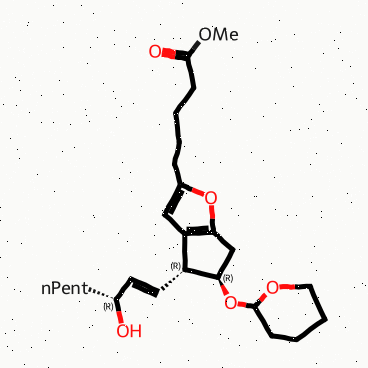 CCCCC[C@@H](O)C=C[C@@H]1c2cc(CCCCC(=O)OC)oc2C[C@H]1OC1CCCCO1